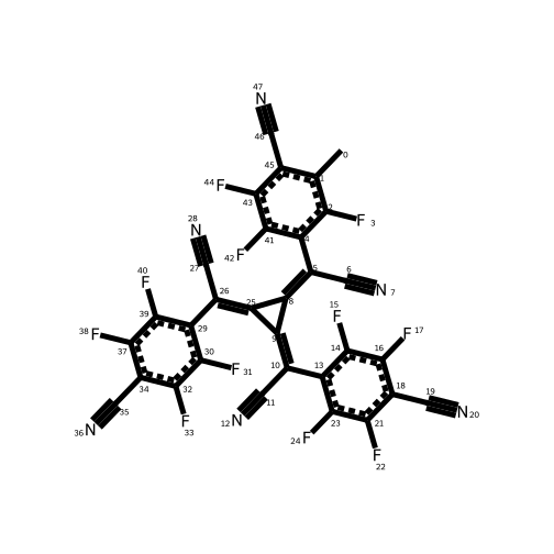 Cc1c(F)c(/C(C#N)=C2/C(=C(C#N)c3c(F)c(F)c(C#N)c(F)c3F)/C2=C(/C#N)c2c(F)c(F)c(C#N)c(F)c2F)c(F)c(F)c1C#N